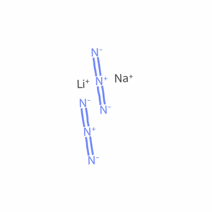 [Li+].[N-]=[N+]=[N-].[N-]=[N+]=[N-].[Na+]